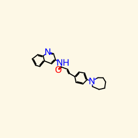 O=C(C=Cc1ccc(N2CCCCCC2)cc1)Nc1cnc2ccccc2c1